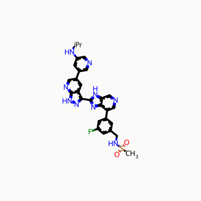 CC(C)Nc1cncc(-c2cnc3[nH]nc(-c4nc5c(-c6cc(F)cc(CNS(C)(=O)=O)c6)cncc5[nH]4)c3c2)c1